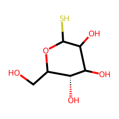 OCC1OC(S)C(O)C(O)[C@@H]1O